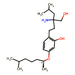 CC(C)CCC[C@H](C)Oc1ccc(CCC(N)(CO)CC(C)C)c(O)c1